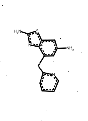 Nc1cc(Cc2ccccn2)c2nc(N)sc2c1